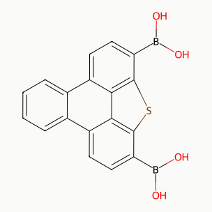 OB(O)c1ccc2c3ccccc3c3ccc(B(O)O)c4sc1c2c43